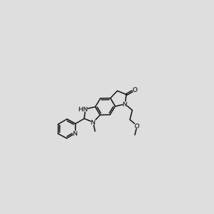 COCCN1C(=O)Cc2cc3c(cc21)N(C)C(c1ccccn1)N3